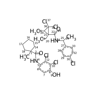 CC1(C(=O)Nc2ccc(O)c(Cl)c2Cl)CCCCC1.CCC1(C(=O)NC(C)c2ccc(Cl)cc2)C(C)C1(Cl)Cl